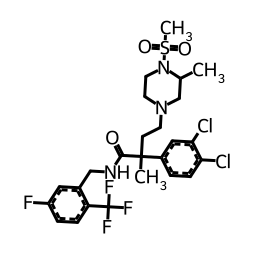 CC1CN(CCC(C)(C(=O)NCc2cc(F)ccc2C(F)(F)F)c2ccc(Cl)c(Cl)c2)CCN1S(C)(=O)=O